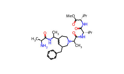 COC(=O)[C@@H](NC(=O)[C@@H](NC(=O)C(C)N1CCC(C(C)NC(=O)[C@H](C)N)=CC(Cc2ccccc2)C1)C(C)C)C(C)C